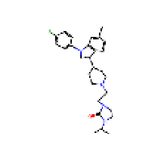 Cc1ccc2c(c1)N(c1ccc(F)cc1)CC2C1CCN(CCN2CCN(C(C)C)C2=O)CC1